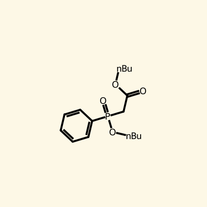 CCCCOC(=O)CP(=O)(OCCCC)c1ccccc1